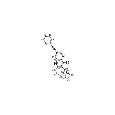 O=c1c2ncc(C#Cc3ccccn3)cc2nc2n1CC1(CCC2)OCCO1